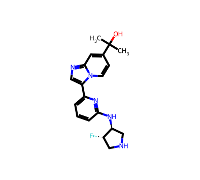 CC(C)(O)c1ccn2c(-c3cccc(N[C@H]4CNC[C@@H]4F)n3)cnc2c1